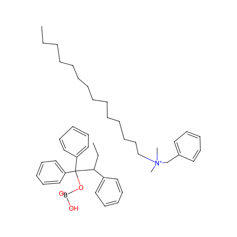 CCC(c1ccccc1)C(OB([O-])O)(c1ccccc1)c1ccccc1.CCCCCCCCCCCCCC[N+](C)(C)Cc1ccccc1